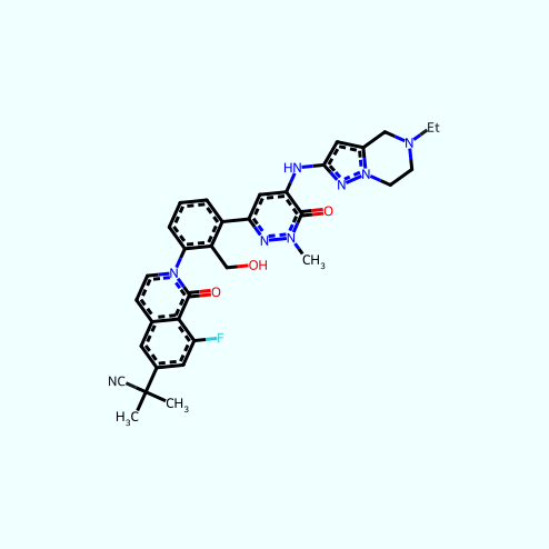 CCN1CCn2nc(Nc3cc(-c4cccc(-n5ccc6cc(C(C)(C)C#N)cc(F)c6c5=O)c4CO)nn(C)c3=O)cc2C1